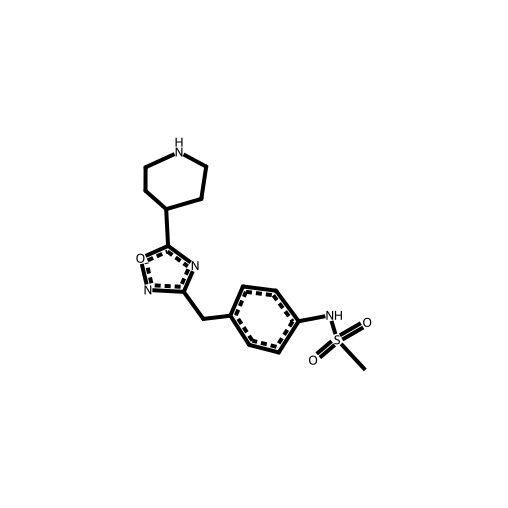 CS(=O)(=O)Nc1ccc(Cc2noc(C3CCNCC3)n2)cc1